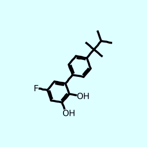 CC(C)C(C)(C)c1ccc(-c2cc(F)cc(O)c2O)cc1